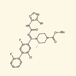 CC(C)c1ncsc1NC(=O)N=C(c1cc(Cl)c(-c2ccccc2F)cc1F)N1CCN(C(=O)OC(C)(C)C)C[C@@H]1C